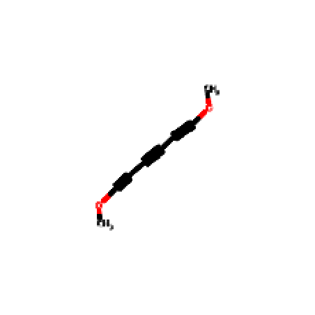 COC#CC#CC#COC